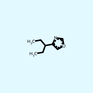 CCC(CC)c1cocn1